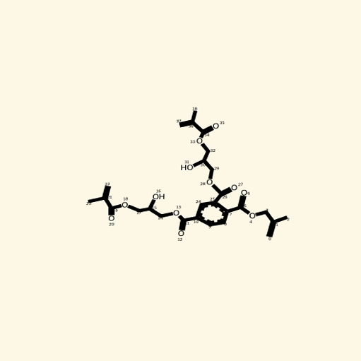 C=C(C)COC(=O)c1ccc(C(=O)OCC(O)COC(=O)C(=C)C)cc1C(=O)OCC(O)COC(=O)C(=C)C